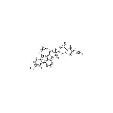 CCC(=O)N[C@H]1CC[C@@H](NC(=O)c2c(C)[nH]c3c(-c4c(OCC5CC5)ccc(C)c4F)ncnc23)C[C@H]1F